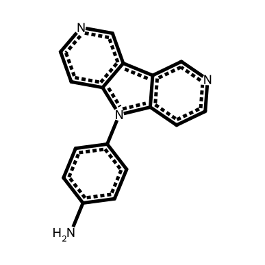 Nc1ccc(-n2c3ccncc3c3cnccc32)cc1